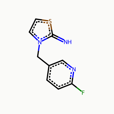 N=c1sccn1Cc1ccc(F)nc1